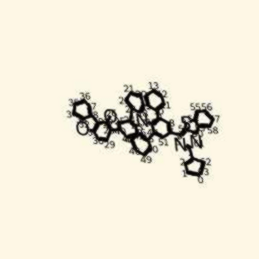 c1ccc(-c2nc(-c3cc(-c4ccccc4)c(-n4c5ccccc5c5c6oc7c(ccc8oc9ccccc9c87)c6ccc54)c(-c4ccccc4)c3)c3sc4ccccc4c3n2)cc1